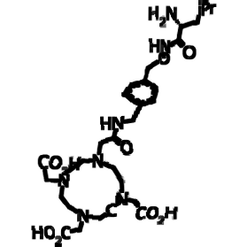 CC(C)C[C@@H](N)C(=O)NOCc1ccc(CNC(=O)CN2CCN(CC(=O)O)CCN(CC(=O)O)CCN(CC(=O)O)CC2)cc1